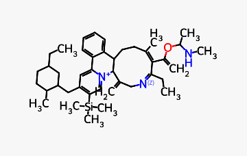 C=C(OC(C)NC)C1=C(C)CCC2c3ccccc3-c3cc(CC4CC(CC)CCC4C)c([Si](C)(C)C)c[n+]3C2C(=C)C/N=C\1CC